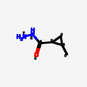 CC1CC1C(=O)NN